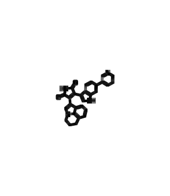 O=C1NC(=O)C(c2cn3c4c(cccc24)CCC3)=C1c1c[nH]c2cc(-c3cccnc3)ccc12